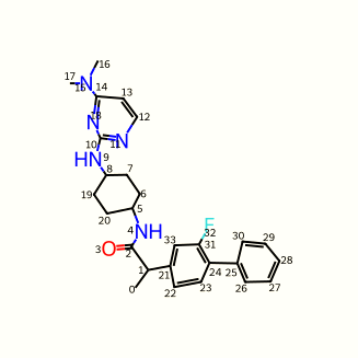 CC(C(=O)NC1CCC(Nc2nccc(N(C)C)n2)CC1)c1ccc(-c2ccccc2)c(F)c1